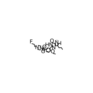 CCCc1c(I)n(C)c2c(=O)[nH]c(-c3cc(S(=O)(=O)N4CCN(CCCF)CC4)ccc3OCC)nc12